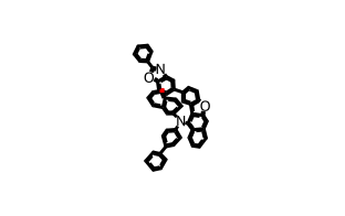 c1ccc(-c2ccc(N(c3ccc4ccccc4c3)c3c4ccccc4cc4oc5ccc(-c6ccc7oc(-c8ccccc8)nc7c6)cc5c34)cc2)cc1